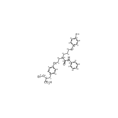 CCOC(Cc1ccc(OCCN(CCCOc2ccc(F)cc2)C(=O)Nc2ccccc2)cc1)C(=O)O